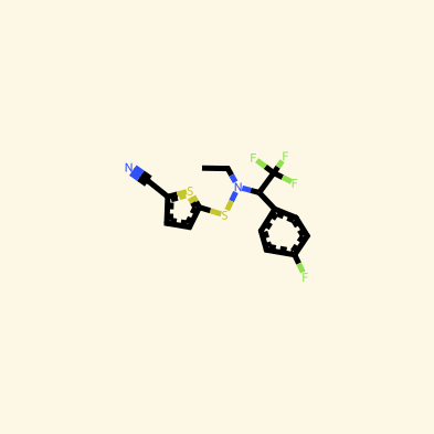 CCN(Sc1ccc(C#N)s1)C(c1ccc(F)cc1)C(F)(F)F